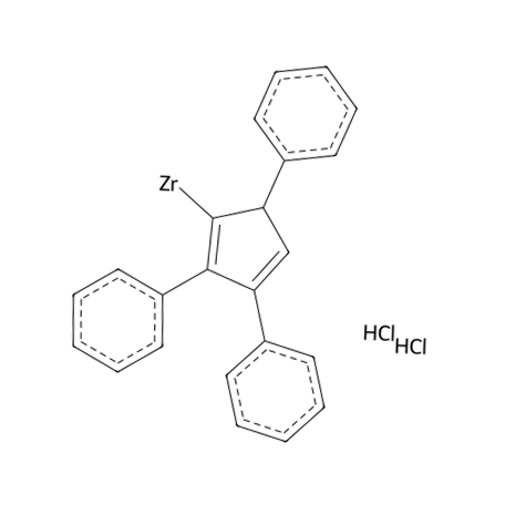 Cl.Cl.[Zr][C]1=C(c2ccccc2)C(c2ccccc2)=CC1c1ccccc1